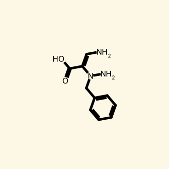 N/C=C(/C(=O)O)N(N)Cc1ccccc1